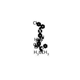 CN(C)CCC(CSc1ccccc1)Nc1ccc(S(=O)(=O)Nc2ncnc3cc(N4CCN(CC5=C(c6ccc(Cl)cc6)CCCC5)CC4)ccc23)cc1[N+](=O)[O-]